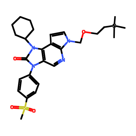 C[Si](C)(C)CCOCn1ccc2c1ncc1c2n(C2CCCCC2)c(=O)n1-c1ccc(S(C)(=O)=O)cc1